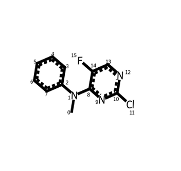 CN(c1ccccc1)c1nc(Cl)ncc1F